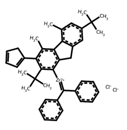 Cc1cc(C(C)(C)C)cc2c1-c1c(C)c(C3=CC=CC3)c(C(C)(C)C)[c]([Zr+2]=[C](c3ccccc3)c3ccccc3)c1C2.[Cl-].[Cl-]